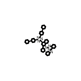 c1ccc(-c2ccc(-c3nc(-c4ccc(-c5ccccc5)cc4)nc(-c4cc5c6ccccc6n(-c6nc7ccccc7c7nc8ccccc8n67)c5c5ccccc45)n3)cc2)cc1